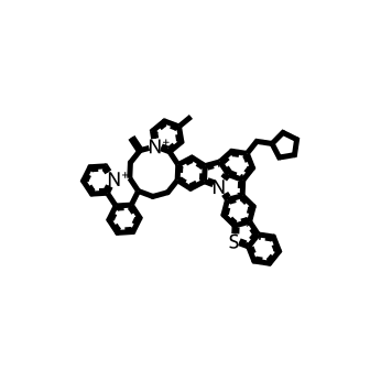 C=C1CC2C(CCc3cc4c(cc3-c3cc(C)cc[n+]31)c1cc(CC3CCCC3)cc3c5cc6c(cc5n4c13)sc1ccccc16)c1ccccc1-c1cccc[n+]12